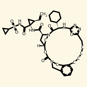 C=C[C@@H]1C[C@]1(NC(=O)[C@@H]1C[C@@H]2CN1C(=O)[C@H](C1CCCCC1)Nc1nnc(o1)CCCCCc1cccc3c1CN(C3)C(=O)O2)C(=O)NS(=O)(=O)C1CC1